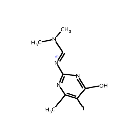 Cc1nc(/N=C/N(C)C)nc(O)c1I